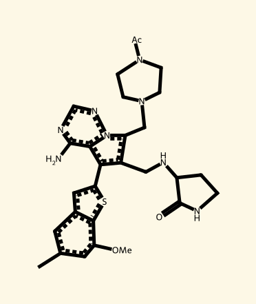 COc1cc(C)cc2cc(-c3c(CNC4CCNC4=O)c(CN4CCN(C(C)=O)CC4)n4ncnc(N)c34)sc12